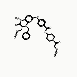 CN1C(=O)[C@@H](CN=[N+]=[N-])N(Cc2ccccc2)c2nc(Nc3ccc(C(=O)NC4CCN(C(=O)CN=[N+]=[N-])CC4)cc3)ccc21